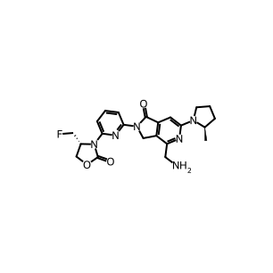 C[C@@H]1CCCN1c1cc2c(c(CN)n1)CN(c1cccc(N3C(=O)OC[C@@H]3CF)n1)C2=O